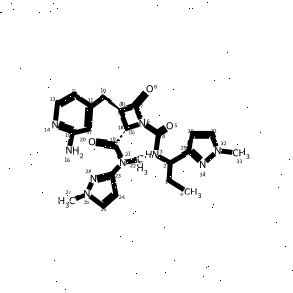 CCC(NC(=O)N1C(=O)[C@H](Cc2ccnc(N)c2)[C@H]1C(=O)N(C)c1ccn(C)n1)c1ccn(C)n1